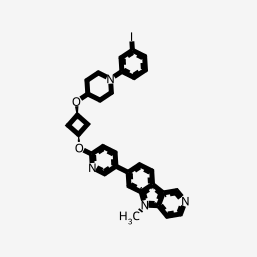 Cn1c2ccncc2c2ccc(-c3ccc(O[C@H]4C[C@H](OC5CCN(c6cccc(I)c6)CC5)C4)nc3)cc21